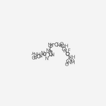 CCC1(C(=O)NC(C)C)CCN(c2ccc(-c3nc(-c4cnn(CC5CCN(C(=O)CC6(O)CCN(c7ccc(NC8CCC(=O)NC8=O)cc7F)CC6)CC5)c4)cn4ncc(C#N)c34)cn2)CC1